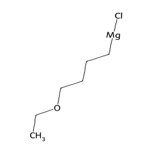 CCOCCC[CH2][Mg][Cl]